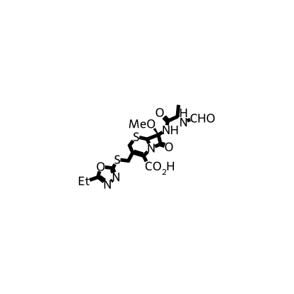 CCc1nnc(SCC2=C(C(=O)O)N3C(=O)[C@](NC(=O)C(C)NC=O)(OC)C3SC2)o1